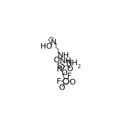 COc1cc(OC)c(F)c(COc2nsc(NC(=O)NCCCCN3CCCC3O)c2C(N)=O)c1F